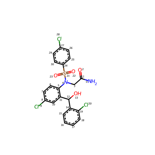 NC(=O)CN(c1ccc(Cl)cc1C(O)c1ccccc1Cl)S(=O)(=O)c1ccc(Cl)cc1